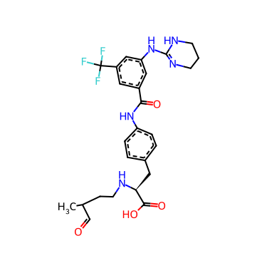 CC(C=O)CCN[C@@H](Cc1ccc(NC(=O)c2cc(NC3=NCCCN3)cc(C(F)(F)F)c2)cc1)C(=O)O